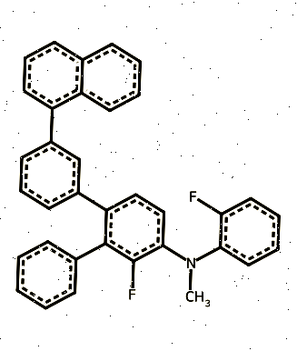 CN(c1ccccc1F)c1ccc(-c2cccc(-c3cccc4ccccc34)c2)c(-c2ccccc2)c1F